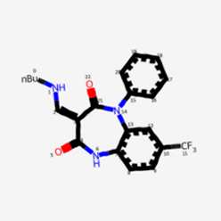 CCCCNC=C1C(=O)Nc2ccc(C(F)(F)F)cc2N(c2ccccc2)C1=O